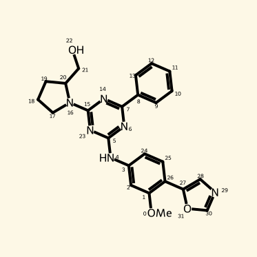 COc1cc(Nc2nc(-c3ccccc3)nc(N3CCCC3CO)n2)ccc1-c1cnco1